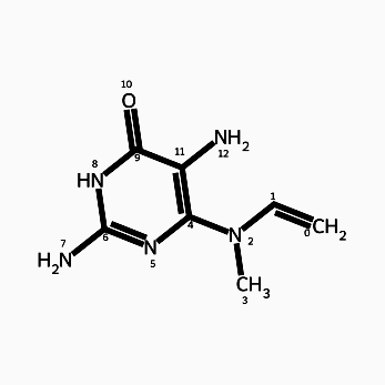 C=CN(C)c1nc(N)[nH]c(=O)c1N